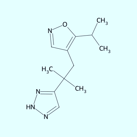 CC(C)c1oncc1CC(C)(C)c1cn[nH]n1